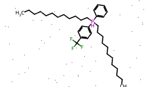 CCCCCCCCCCCC[PH](CCCCCCCCCCCC)(c1ccccc1)c1ccc(C(F)(F)F)cc1